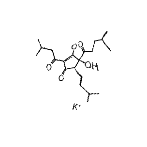 CC(C)CCC(=O)[C@@]1(O)C([O-])=C(C(=O)CC(C)C)C(=O)[C@@H]1CCC(C)C.[K+]